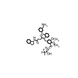 COc1cc(CN(C(=O)CCC(=O)NC2CCc3ccccc32)c2ccccc2Oc2cccc(CN)c2)cc(OC)c1OC.O=C(O)C(F)(F)F